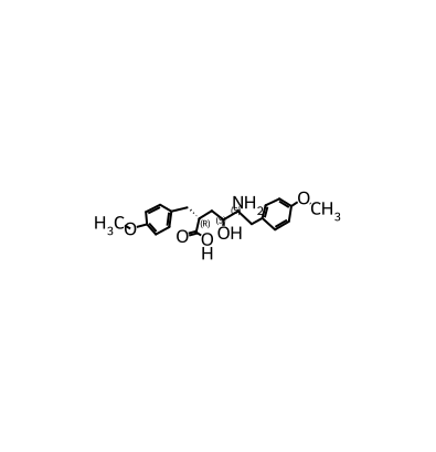 COc1ccc(C[C@H](C[C@H](O)[C@@H](N)Cc2ccc(OC)cc2)C(=O)O)cc1